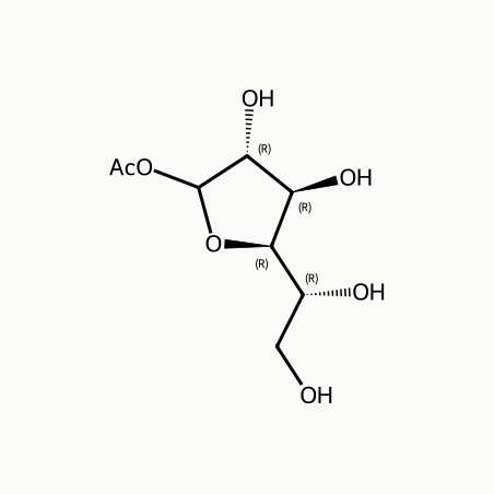 CC(=O)OC1O[C@H]([C@H](O)CO)[C@H](O)[C@H]1O